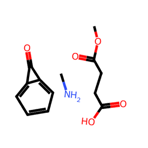 CN.COC(=O)CCC(=O)O.O=c1c2ccccc12